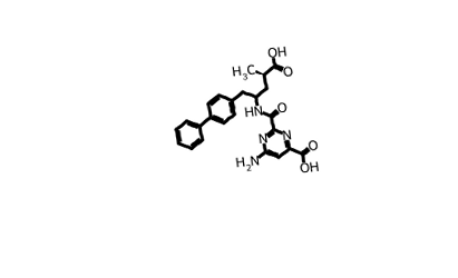 C[C@H](CC(Cc1ccc(-c2ccccc2)cc1)NC(=O)c1nc(N)cc(C(=O)O)n1)C(=O)O